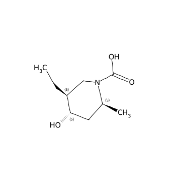 CC[C@H]1CN(C(=O)O)[C@@H](C)C[C@@H]1O